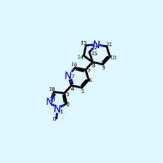 Cn1cc(-c2ccc(C34C=CCN(CC3)C4)cn2)cn1